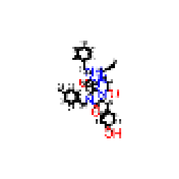 C#CCN1CC(=O)N2[C@@H](Cc3ccc(O)cc3)C(=O)N(Cc3ccc(C)cc3)C[C@@H]2N1C(=O)NCc1ccccc1